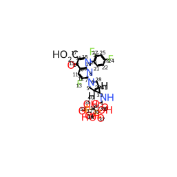 O=C(N[C@H]1[C@@H]2CN(c3nc4c(cc3F)c(=O)c(C(=O)O)cn4-c3ccc(F)cc3F)C[C@@H]21)OC(P(=O)(O)O)P(=O)(O)O